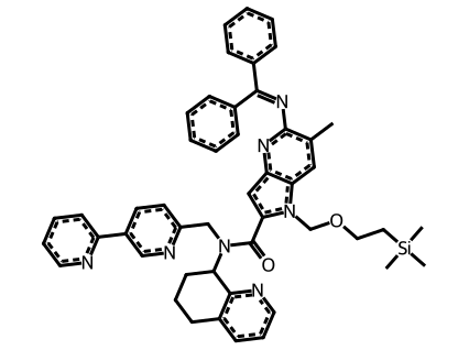 Cc1cc2c(cc(C(=O)N(Cc3ccc(-c4ccccn4)cn3)C3CCCc4cccnc43)n2COCC[Si](C)(C)C)nc1N=C(c1ccccc1)c1ccccc1